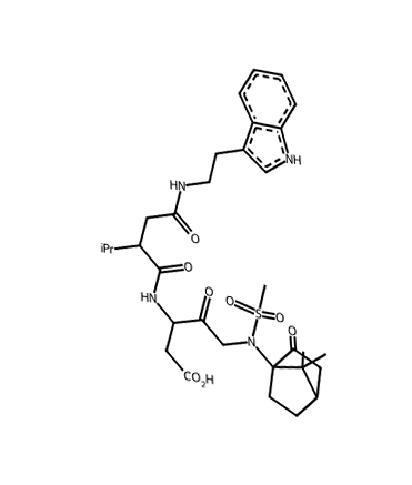 CC(C)C(CC(=O)NCCc1c[nH]c2ccccc12)C(=O)NC(CC(=O)O)C(=O)CN(C12CCC(CC1=O)C2(C)C)S(C)(=O)=O